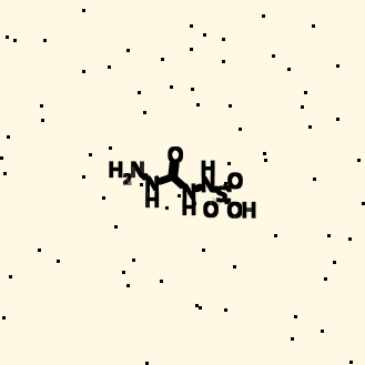 NNC(=O)NNS(=O)(=O)O